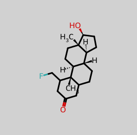 C[C@]12C(CF)CC(=O)CC1CC[C@@H]1[C@@H]2CC[C@]2(C)[C@@H](O)CC[C@@H]12